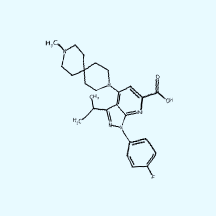 CC(C)c1nn(-c2ccc(F)cc2)c2nc(C(=O)O)cc(N3CCC4(CCN(C)CC4)CC3)c12